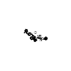 Cl.O=C(CNC(=O)OCc1ccccc1)NCC(CCCN1CCC(Cc2ccccc2F)CC1)(c1ccccc1)c1ccccc1